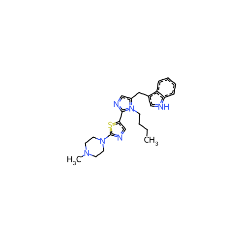 CCCCn1c(Cc2c[nH]c3ccccc23)cnc1-c1cnc(N2CCN(C)CC2)s1